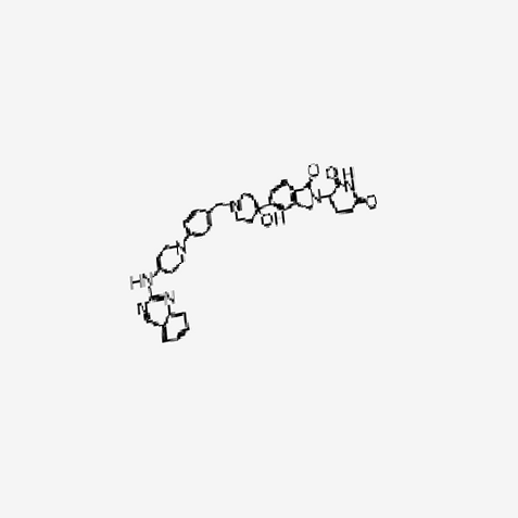 O=C1CCC(N2Cc3cc(C4(O)CCN(Cc5ccc(N6CCC(Nc7ncc8ccccc8n7)CC6)cc5)CC4)ccc3C2=O)C(=O)N1